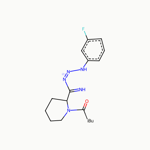 CCC(C)C(=O)N1CCCCC1C(=N)/N=N\Nc1cccc(F)c1